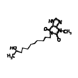 CC(O)CCCCCCCCCn1c(=O)c2[nH]cnc2n(C)c1=O